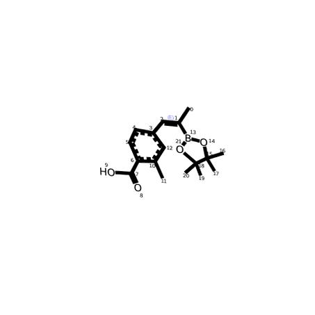 C/C(=C/c1ccc(C(=O)O)c(C)c1)B1OC(C)(C)C(C)(C)O1